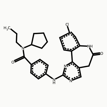 CCCN(C(=O)c1ccc(Nc2ncc3c(n2)-c2ccc(Cl)cc2NC(=O)C3)cc1)C1CCCC1